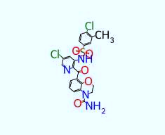 Cc1cc(S(=O)(=O)Nc2cc(Cl)cnc2C(=O)c2cccc3c2OCCN3C(N)=O)ccc1Cl